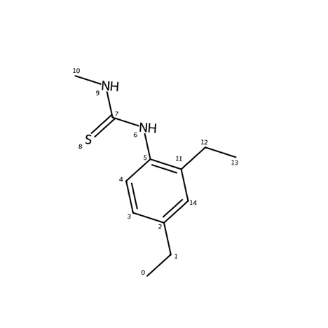 CCc1ccc(NC(=S)NC)c(CC)c1